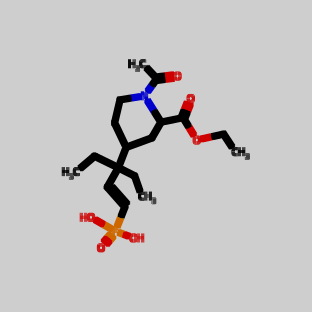 CCOC(=O)C1CC(C(C=CP(=O)(O)O)(CC)CC)CCN1C(C)=O